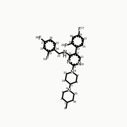 CC1CCN(C2CCN(c3ncc(-c4ccc(F)cc4F)c(NCc4ccc(F)cc4F)n3)CC2)CC1